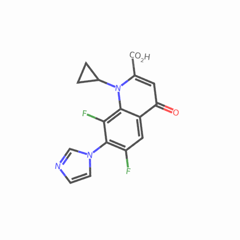 O=C(O)c1cc(=O)c2cc(F)c(-n3ccnc3)c(F)c2n1C1CC1